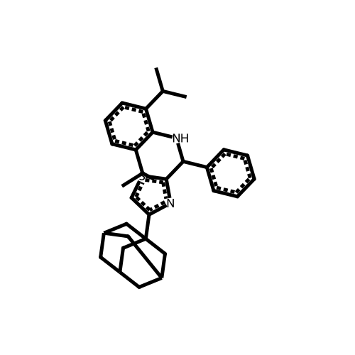 CC(C)c1cccc(C(C)C)c1NC(c1ccccc1)c1nc(C23CC4CC(CC(C4)C2)C3)cs1